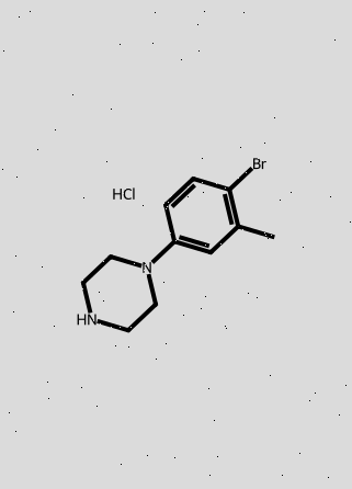 Cc1cc(N2CCNCC2)ccc1Br.Cl